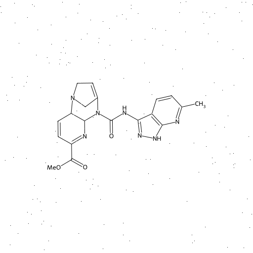 COC(=O)C1=NC2C(C=C1)N1CC=C(C1)N2C(=O)Nc1n[nH]c2nc(C)ccc12